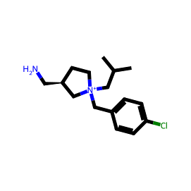 CC(C)C[N+]1(Cc2ccc(Cl)cc2)CC[C@H](CN)C1